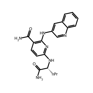 CCC[C@@H](Nc1ccc(C(N)=O)c(Nc2cnc3ccccc3c2)n1)C(N)=O